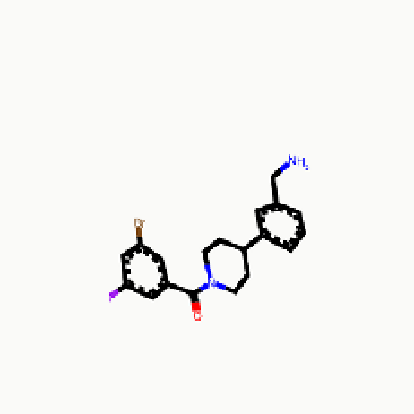 NCc1cccc(C2CCN(C(=O)c3cc(Br)cc(I)c3)CC2)c1